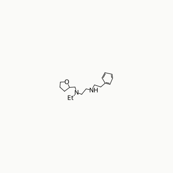 CCN(CCNCCc1ccccc1)CC1CCCO1